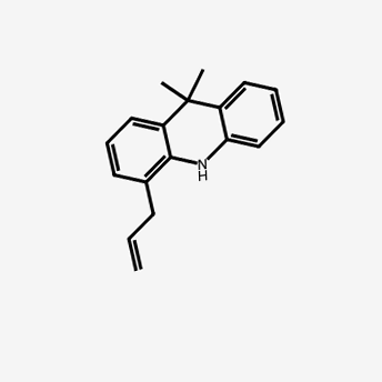 C=CCc1cccc2c1Nc1ccccc1C2(C)C